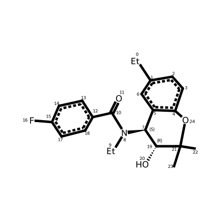 CCc1ccc2c(c1)[C@H](N(CC)C(=O)c1ccc(F)cc1)[C@@H](O)C(C)(C)O2